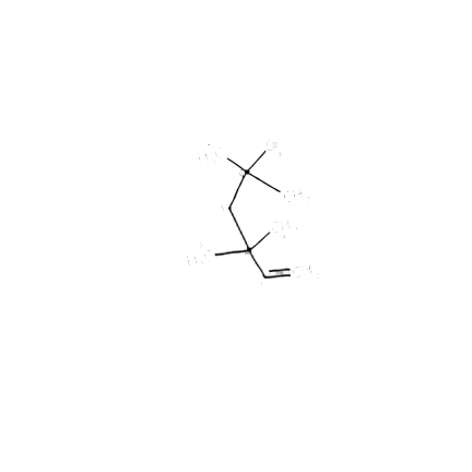 C=CC(C)(C)CC(C)(C)Br